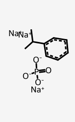 CC(C)c1ccccc1.O=P([O-])([O-])[O-].[Na+].[Na+].[Na+]